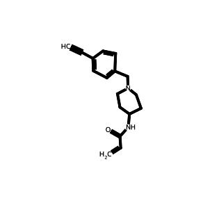 C#Cc1ccc(CN2CCC(NC(=O)C=C)CC2)cc1